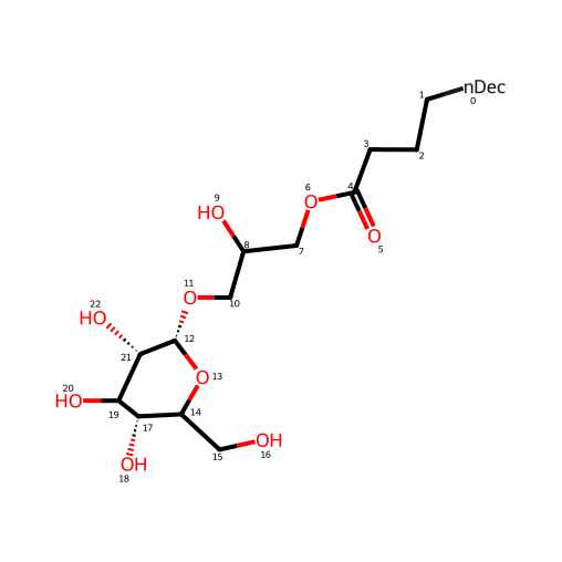 CCCCCCCCCCCCCC(=O)OCC(O)CO[C@@H]1OC(CO)[C@H](O)C(O)[C@@H]1O